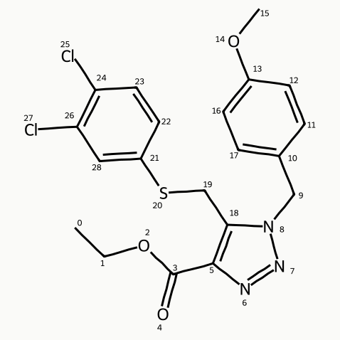 CCOC(=O)c1nnn(Cc2ccc(OC)cc2)c1CSc1ccc(Cl)c(Cl)c1